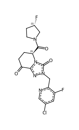 O=C1CC[C@@H](C(=O)N2CC[C@H](F)C2)n2c1nn(Cc1ncc(Cl)cc1F)c2=O